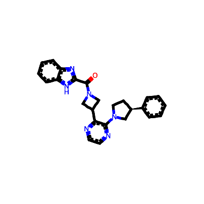 O=C(c1nc2ccccc2[nH]1)N1CC(c2nccnc2N2CC[C@@H](c3ccccc3)C2)C1